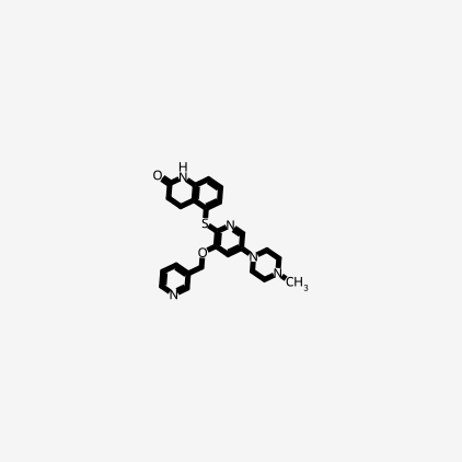 CN1CCN(c2cnc(Sc3cccc4c3CCC(=O)N4)c(OCc3cccnc3)c2)CC1